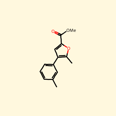 COC(=O)c1cc(-c2cccc(C)c2)c(C)o1